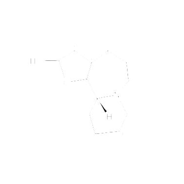 C[C@H]1CCC2CC(O)O[C@]2(C)[C@H]2CCCCN12